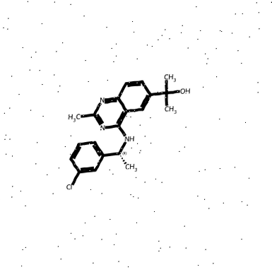 Cc1nc(N[C@H](C)c2cccc(Cl)c2)c2cc(C(C)(C)O)ccc2n1